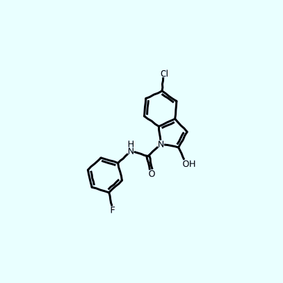 O=C(Nc1cccc(F)c1)n1c(O)cc2cc(Cl)ccc21